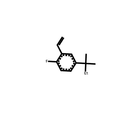 C=Cc1cc(C(C)(C)CC)ccc1F